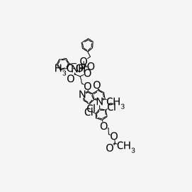 CNC(=O)C(COc1ncc(Cl)c2c1c(=O)cc(C)n2-c1c(Cl)cc(OCCOC(C)=O)cc1Cl)OP(=O)(OCc1ccccc1)OCc1ccccc1